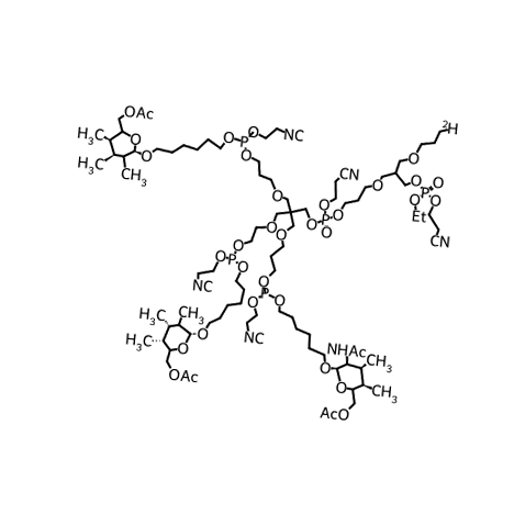 [2H]CCCOCC(COCCCOP(=O)(OCCC#N)OCC(COCCCOP(OCCCCCCO[C@@H]1OC(COC(C)=O)[C@H](C)[C@H](C)C1C)OCC[N+]#[C-])(COCCCOP(OCCCCCCO[C@@H]1OC(COC(C)=O)[C@H](C)[C@H](C)C1NC(C)=O)OCC[N+]#[C-])COCCOP(OCCCCCCO[C@@H]1OC(COC(C)=O)[C@H](C)[C@H](C)C1C)OCC[N+]#[C-])COP(=O)(OCC)OCCC#N